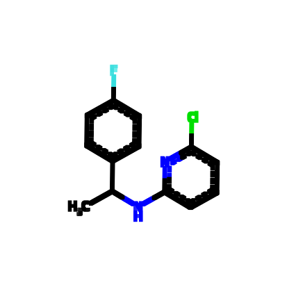 CC(Nc1cccc(Cl)n1)c1ccc(F)cc1